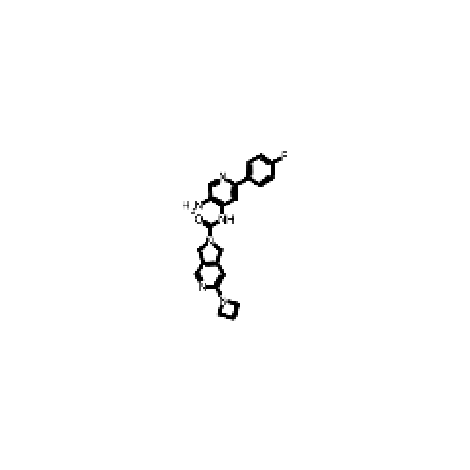 Nc1cnc(-c2ccc(F)cc2)cc1NC(=O)N1Cc2cnc(N3CCC3)cc2C1